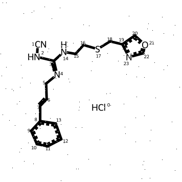 Cl.N#CN/C(=N\C/C=C/c1ccccc1)NCCSCc1cocn1